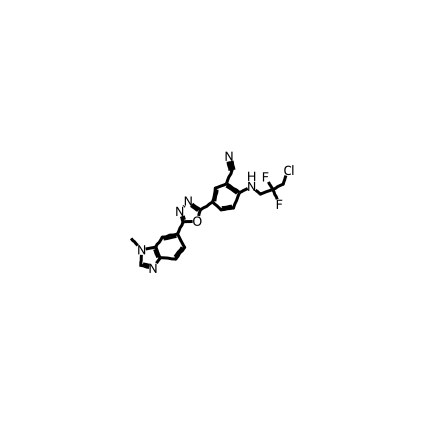 Cn1cnc2ccc(-c3nnc(-c4ccc(NCC(F)(F)CCl)c(C#N)c4)o3)cc21